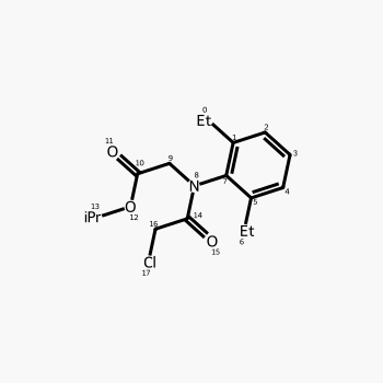 CCc1cccc(CC)c1N(CC(=O)OC(C)C)C(=O)CCl